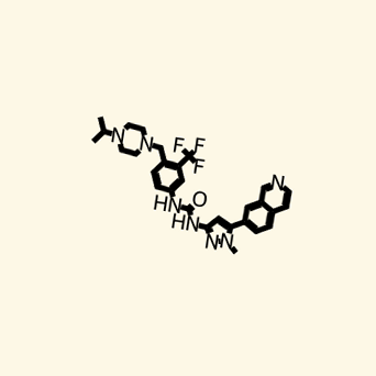 CC(C)N1CCN(Cc2ccc(NC(=O)Nc3cc(-c4ccc5ccncc5c4)n(C)n3)cc2C(F)(F)F)CC1